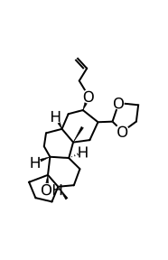 C=CCO[C@@H]1C[C@H]2CC[C@@H]3[C@H](CC[C@]4(C)CCC[C@]34O)[C@@]2(C)CC1C1OCCO1